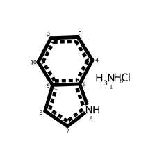 Cl.N.c1ccc2[nH]ccc2c1